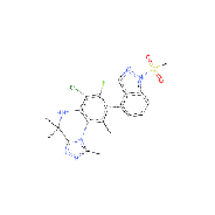 Cc1c(-c2cccc3c2cnn3S(C)(=O)=O)c(F)c(Cl)c2c1-n1c(C)nnc1C(C)(C)N2